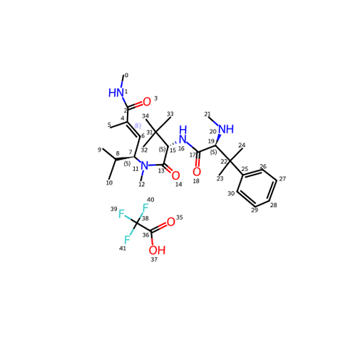 CNC(=O)/C(C)=C/[C@H](C(C)C)N(C)C(=O)[C@@H](NC(=O)[C@@H](NC)C(C)(C)c1ccccc1)C(C)(C)C.O=C(O)C(F)(F)F